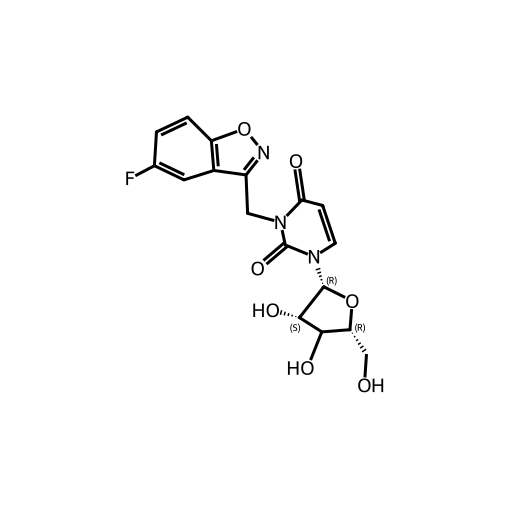 O=c1ccn([C@@H]2O[C@H](CO)C(O)[C@@H]2O)c(=O)n1Cc1noc2ccc(F)cc12